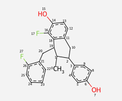 CC1C(c2ccc(O)cc2)Cc2ccc(O)c(F)c2C1Cc1ccccc1F